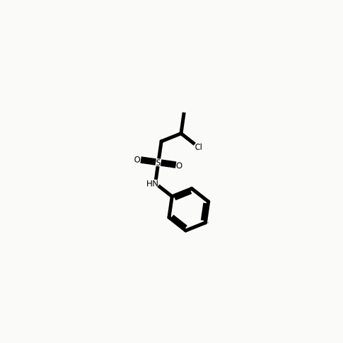 CC(Cl)CS(=O)(=O)Nc1cc[c]cc1